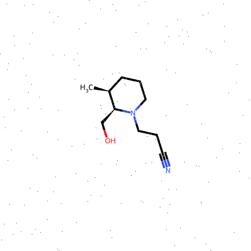 C[C@H]1CCCN(CCC#N)[C@H]1CO